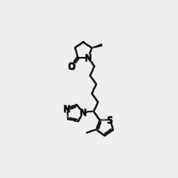 Cc1ccsc1C(CCCCCN1C(=O)CC[C@H]1C)n1ccnc1